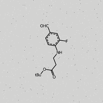 CC(C)(C)OC(=O)CCNc1ccc(C=O)cc1F